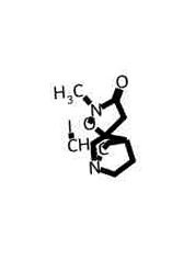 CI.CN1OC2(CC1=O)CN1CCC2CC1